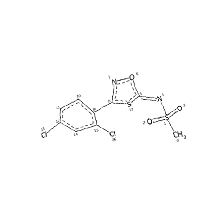 CS(=O)(=O)/N=c1/onc(-c2ccc(Cl)cc2Cl)s1